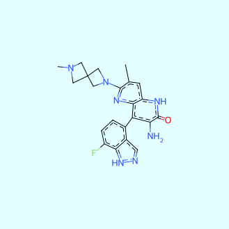 Cc1cc2[nH]c(=O)c(N)c(-c3ccc(F)c4[nH]ncc34)c2nc1N1CC2(CN(C)C2)C1